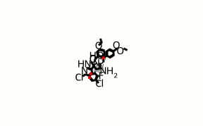 CCOC(=O)c1ccc([C@@H](O)C[C@H]2[C@@H](N)[C@H](c3cccc(Cl)c3F)[C@]3(C(=O)Nc4nc(Cl)ccc43)N2Cc2cccc(OCC)c2)cc1